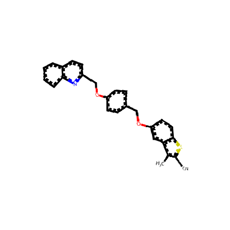 Cc1c(C#N)sc2ccc(OCc3ccc(OCc4ccc5ccccc5n4)cc3)cc12